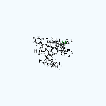 CCC1(C2c3cc(C)c(C(C)(C)C)cc3-c3cc(C(C)(C)C)c(C)cc32)CC(C2CC=CCC2)C2=C1C=C(C(C)(C)C)C2.[Cl-].[Cl-].[Zr+2]